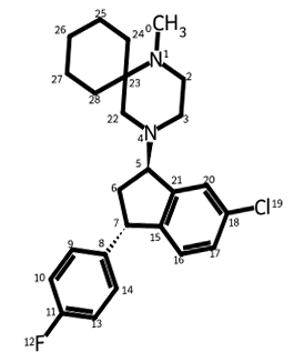 CN1CCN([C@@H]2C[C@@H](c3ccc(F)cc3)c3ccc(Cl)cc32)CC12CCCCC2